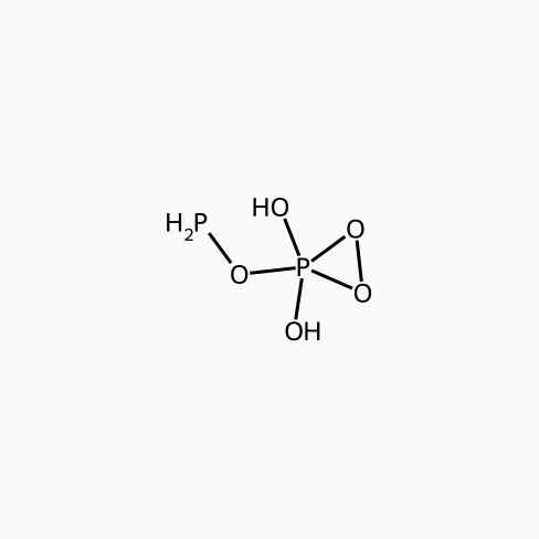 OP1(O)(OP)OO1